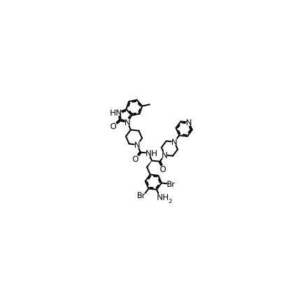 Cc1ccc2[nH]c(=O)n(C3CCN(C(=O)N[C@H](Cc4cc(Br)c(N)c(Br)c4)C(=O)N4CCN(c5ccncc5)CC4)CC3)c2c1